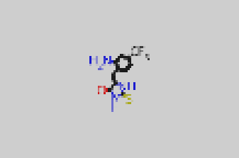 Nc1cc(C(F)(F)F)ccc1C=C1NC(=S)NC1=O